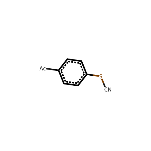 CC(=O)c1ccc(SC#N)cc1